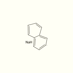 [NaH].[c]1ccc2ccccc2c1